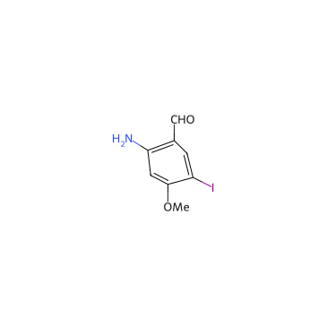 COc1cc(N)c(C=O)cc1I